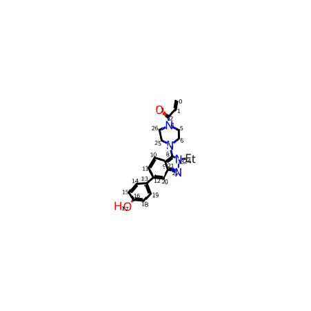 C=CC(=O)N1CCN(c2c3ccc(-c4ccc(O)cc4)cc3nn2CC)CC1